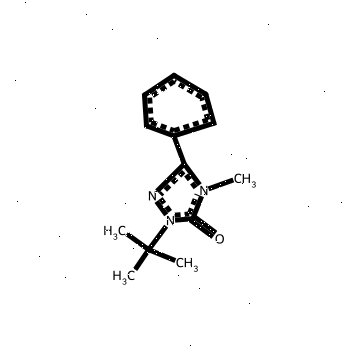 Cn1c(-c2ccccc2)nn(C(C)(C)C)c1=O